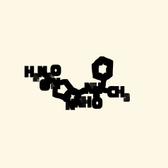 CC(C(=O)Nc1[nH]nc2c1CN(S(N)(=O)=O)C2)c1ccccc1